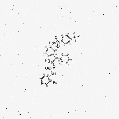 CC(C)(C)c1ccc(S(=O)(=O)Nc2ccc3[nH]c(OC(=O)Nc4ccncc4F)c(-c4ccccc4)c3c2)cc1